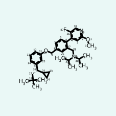 COc1cc(-c2ccc(COc3cccc([C@@H](CC(C)(C)C)C4CC4)c3)cc2CN(C(C)C)C(C)C)c(F)cn1